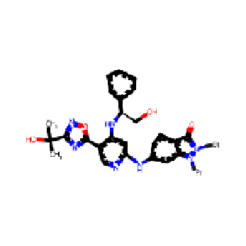 CCn1c(=O)c2ccc(Nc3cc(N[C@H](CO)c4ccccc4)c(-c4nc(C(C)(C)O)no4)cn3)cc2n1C(C)C